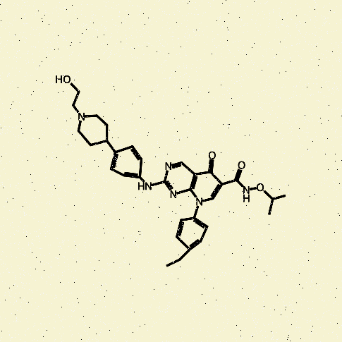 CCc1ccc(-n2cc(C(=O)NOC(C)C)c(=O)c3cnc(Nc4ccc(C5CCN(CCO)CC5)cc4)nc32)cc1